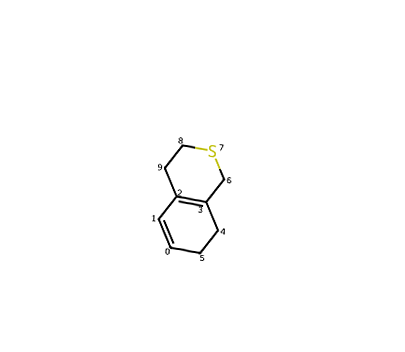 C1=CC2=C(CC1)CSCC2